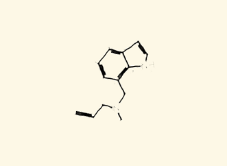 C=CCN(C)Cc1cccc2cc[nH]c12